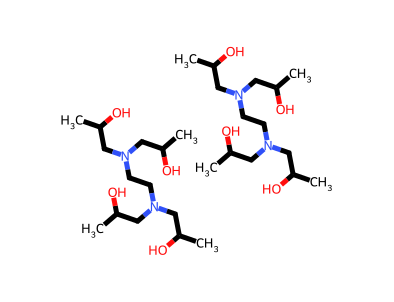 CC(O)CN(CCN(CC(C)O)CC(C)O)CC(C)O.CC(O)CN(CCN(CC(C)O)CC(C)O)CC(C)O